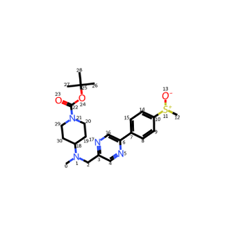 CN(Cc1cnc(-c2ccc([S+](C)[O-])cc2)cn1)C1CCN(C(=O)OC(C)(C)C)CC1